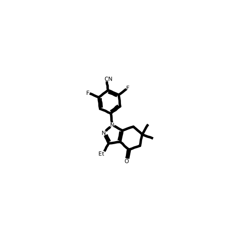 CCc1nn(-c2cc(F)c(C#N)c(F)c2)c2c1C(=O)CC(C)(C)C2